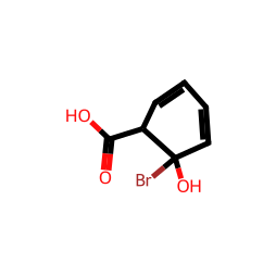 O=C(O)C1C=CC=CC1(O)Br